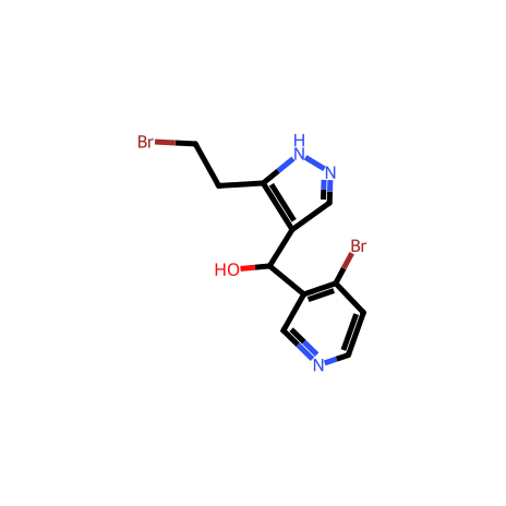 OC(c1cnccc1Br)c1cn[nH]c1CCBr